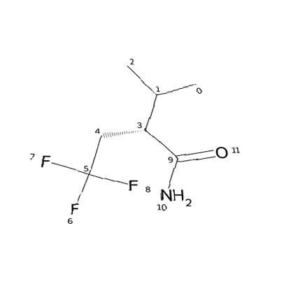 CC(C)[C@@H](CC(F)(F)F)C(N)=O